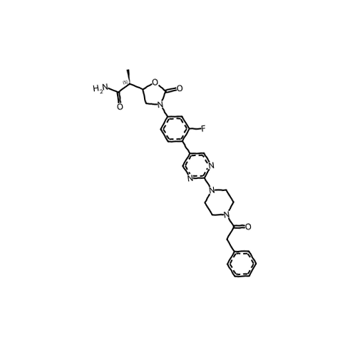 C[C@H](C(N)=O)C1CN(c2ccc(-c3cnc(N4CCN(C(=O)Cc5ccccc5)CC4)nc3)c(F)c2)C(=O)O1